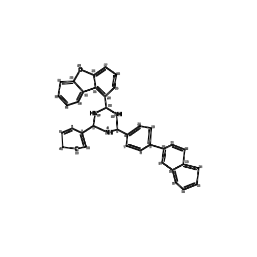 C1=CC(C2NC(c3ccc(-c4ccc5ccccc5c4)cc3)NC(c3cccc4oc5ccccc5c34)N2)=CCC1